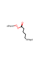 CCCCCCCCCCCC(=O)OOCCCCC